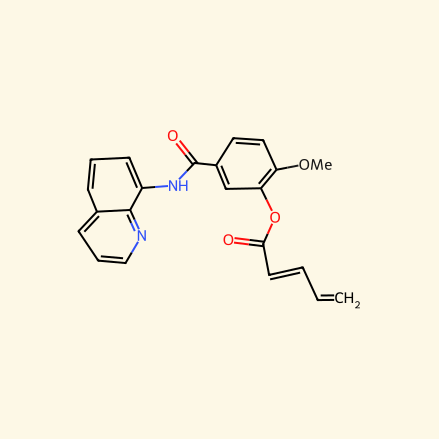 C=C/C=C/C(=O)Oc1cc(C(=O)Nc2cccc3cccnc23)ccc1OC